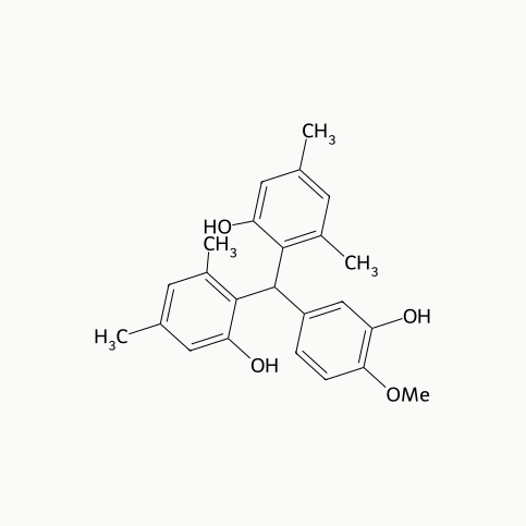 COc1ccc(C(c2c(C)cc(C)cc2O)c2c(C)cc(C)cc2O)cc1O